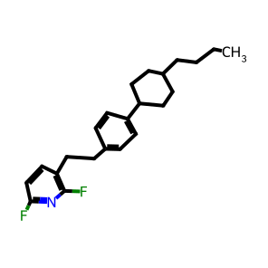 CCCCC1CCC(c2ccc(CCc3ccc(F)nc3F)cc2)CC1